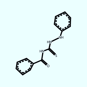 O=C(NC(=S)NNc1ccccc1)c1ccccc1